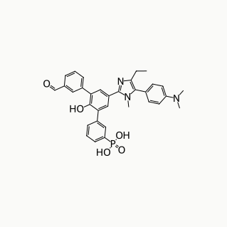 CCc1nc(-c2cc(-c3cccc(C=O)c3)c(O)c(-c3cccc(P(=O)(O)O)c3)c2)n(C)c1-c1ccc(N(C)C)cc1